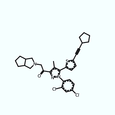 Cc1c(C(=O)CN2CC3CCCC3C2)nn(-c2ccc(Cl)cc2Cl)c1-c1ccc(C#CC2CCCC2)s1